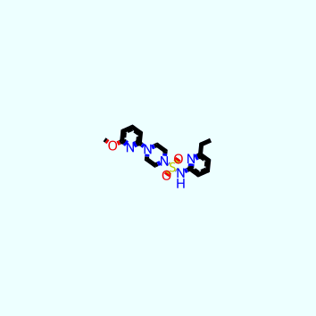 CCc1cccc(NS(=O)(=O)N2CCN(c3cccc(OC)n3)CC2)n1